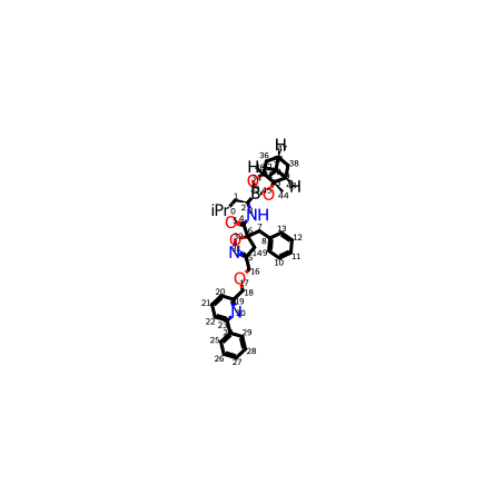 CC(C)C[C@H](NC(=O)C1(Cc2ccccc2)CC(COCc2cccc(-c3ccccc3)n2)=NO1)B1O[C@@H]2C[C@@H]3C[C@@H](C3(C)C)[C@]2(C)O1